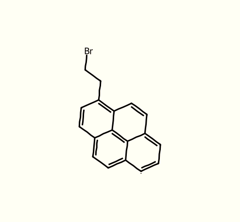 BrCCc1ccc2ccc3[c]ccc4ccc1c2c34